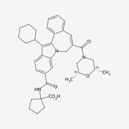 C[C@@H]1CN(C(=O)C2=Cc3ccccc3-c3c(C4CCCCC4)c4ccc(C(=O)NC5(C(=O)O)CCCC5)cc4n3C2)C[C@H](C)O1